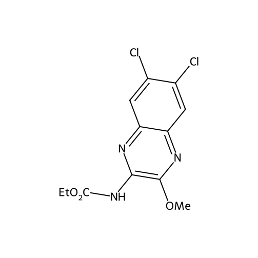 CCOC(=O)Nc1nc2cc(Cl)c(Cl)cc2nc1OC